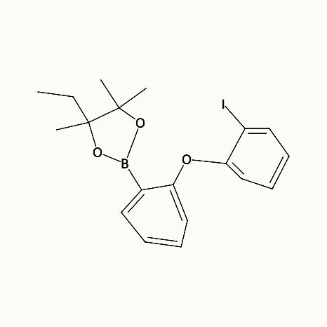 CCC1(C)OB(c2ccccc2Oc2ccccc2I)OC1(C)C